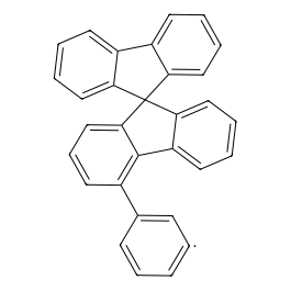 [c]1cccc(-c2cccc3c2-c2ccccc2C32c3ccccc3-c3ccccc32)c1